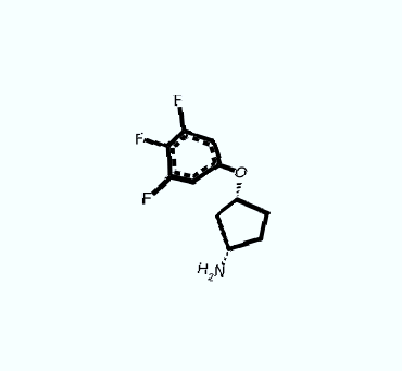 N[C@H]1CC[C@@H](Oc2cc(F)c(F)c(F)c2)C1